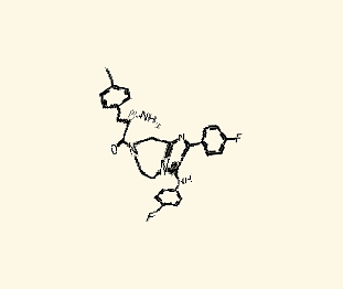 Cc1ccc(C[C@H](N)C(=O)N2CCn3c(nc(-c4ccc(F)cc4)c3Nc3ccc(F)cc3)C2)cc1